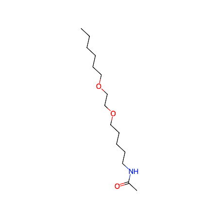 CCCCCCOCCOCCCCCNC(C)=O